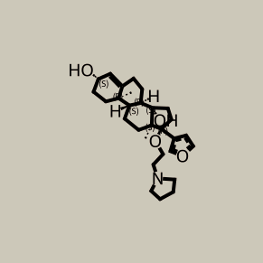 C[C@]12CC[C@H]3[C@@H](CCC4=C[C@@H](O)CC[C@@]43C)[C@@]1(O)CC[C@]2(OCCN1CCCC1)c1ccoc1